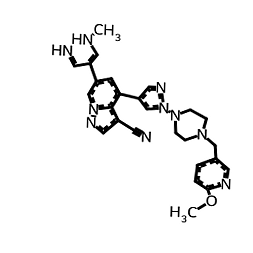 CN/C=C(\C=N)c1cc(-c2cnn(N3CCN(Cc4ccc(OC)nc4)CC3)c2)c2c(C#N)cnn2c1